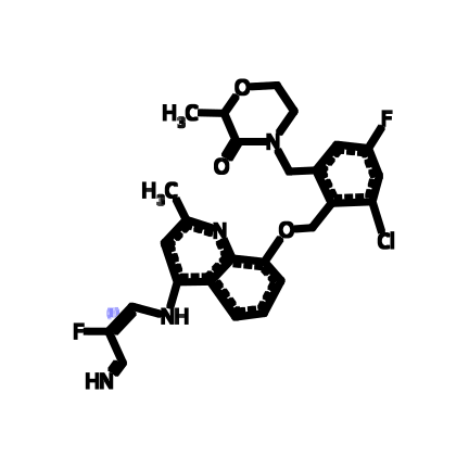 Cc1cc(N/C=C(/F)C=N)c2cccc(OCc3c(Cl)cc(F)cc3CN3CCOC(C)C3=O)c2n1